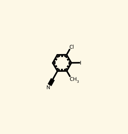 Cc1c(C#N)ccc(Cl)c1I